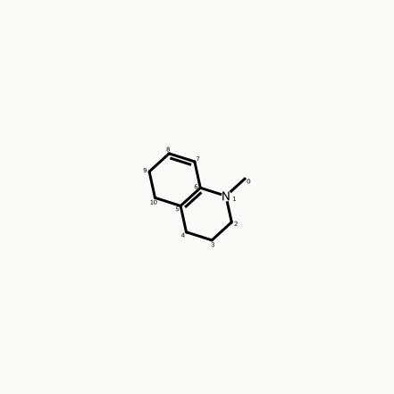 CN1CCCC2=C1C=CCC2